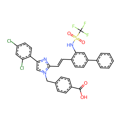 O=C(O)c1ccc(Cn2cc(-c3ccc(Cl)cc3Cl)nc2C=Cc2ccc(-c3ccccc3)cc2NS(=O)(=O)C(F)(F)F)cc1